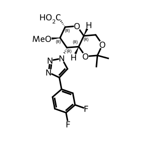 CO[C@@H]1[C@@H](n2cc(-c3ccc(F)c(F)c3)nn2)[C@H]2OC(C)(C)OC[C@H]2O[C@H]1C(=O)O